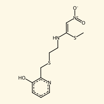 CSC(=C[N+](=O)[O-])NCCSCc1ncccc1O